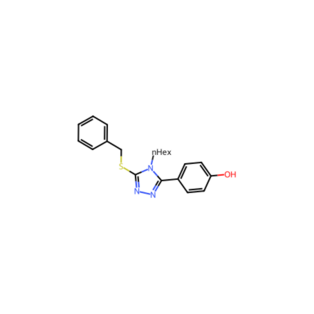 CCCCCCn1c(SCc2ccccc2)nnc1-c1ccc(O)cc1